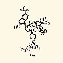 CC1(C)C2CC[C@]1(CS(=O)(=O)O)C(=O)C2.C[C@H]1CN(C2(C)CCN(C(=O)OC(C)(C)C)CC2)CCN1[C@@H]1c2ccc(C(F)(F)F)cc2C[C@H]1O